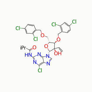 C=C[C@@]1(O)[C@H](OCc2ccc(Cl)cc2Cl)[C@@H](COCc2ccc(Cl)cc2Cl)O[C@H]1n1cnc2c(Cl)nc(NC(=O)C(C)C)nc21